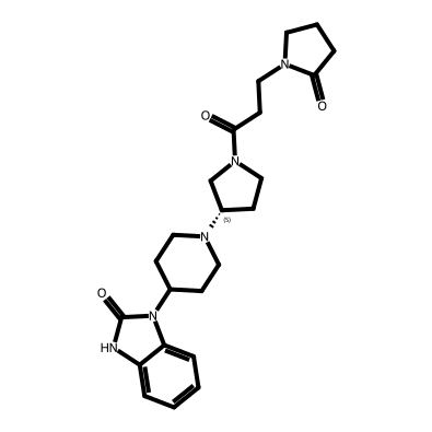 O=C1CCCN1CCC(=O)N1CC[C@H](N2CCC(n3c(=O)[nH]c4ccccc43)CC2)C1